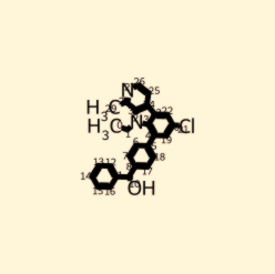 CCn1c2c(-c3ccc(C(O)c4ccccc4)cc3)cc(Cl)cc2c2ccnc(C)c21